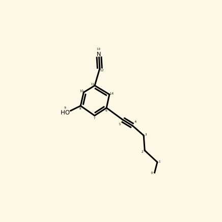 CCCCC#Cc1cc(O)cc(C#N)c1